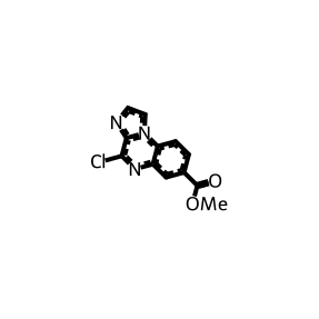 COC(=O)c1ccc2c(c1)nc(Cl)c1nccn12